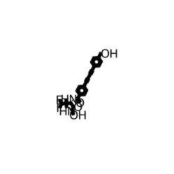 CC(C)(C(F)F)[C@H](NC(=O)c1ccc(C#CC#Cc2ccc(CO)cc2)cc1)C(=O)NO